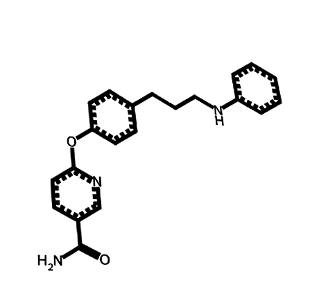 NC(=O)c1ccc(Oc2ccc(CCCNc3ccccc3)cc2)nc1